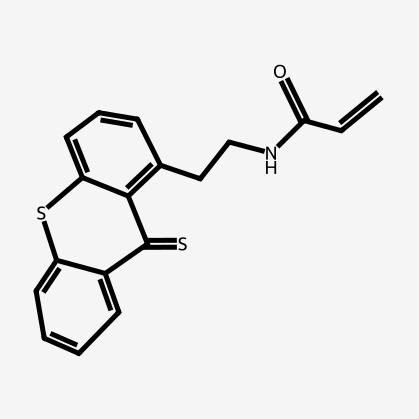 C=CC(=O)NCCc1cccc2sc3ccccc3c(=S)c12